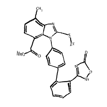 CCSc1nc2c(C)ccc(C(=O)OC)c2n1-c1ccc(-c2ccccc2-c2nc(=O)o[nH]2)cc1